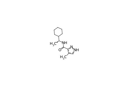 Cc1c[nH]nc1C(=O)N[C@@H](C)C1CCCCC1